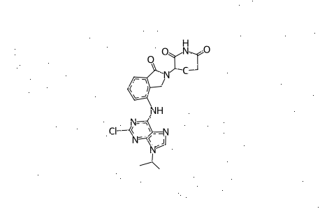 CC(C)n1cnc2c(Nc3cccc4c3CN(C3CCC(=O)NC3=O)C4=O)nc(Cl)nc21